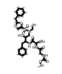 CC(C)CN(CC(O)C(Cc1ccccc1)NC(=O)C(NC(=O)CNC(=O)OC(C)C)C(C)(C)C)S(=O)(=O)C1=COC(Cc2ccccc2)O1